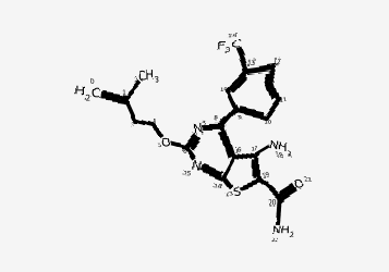 C=C(C)CCOc1nc(-c2cccc(C(F)(F)F)c2)c2c(N)c(C(N)=O)sc2n1